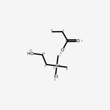 CCC(=O)[O-].CC[N+](C)(C)CCO